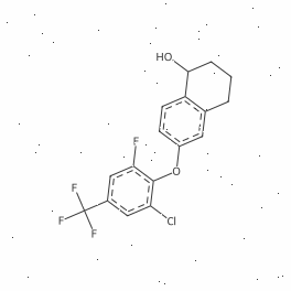 OC1CCCc2cc(Oc3c(F)cc(C(F)(F)F)cc3Cl)ccc21